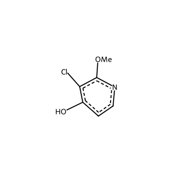 COc1nccc(O)c1Cl